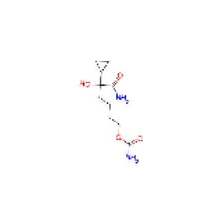 NC(=O)OCCCCC(O)(C(N)=O)C1CC1